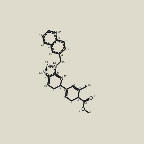 COC(=O)C1CC=C(C2CC=c3nnn(Cc4ccc5ncccc5c4)c3=N2)C=C1F